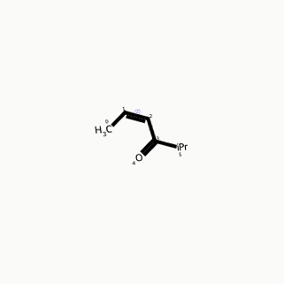 C/C=C\C(=O)C(C)C